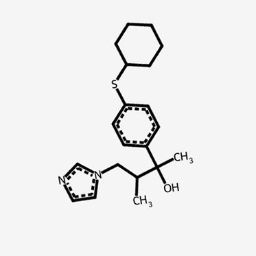 CC(Cn1ccnc1)C(C)(O)c1ccc(SC2CCCCC2)cc1